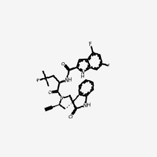 C#C[C@@H]1C[C@@]2(CN1C(=O)C(CC(C)(C)F)NC(=O)c1cc3c(F)cc(F)cc3[nH]1)C(=O)Nc1ccccc12